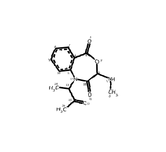 CNC1OC(=O)c2ccccc2N(C(C)C(C)=O)C1=O